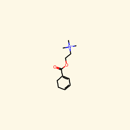 C[N+](C)(C)CCOC(=O)C1=CC=CCC1